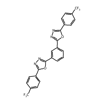 FC(F)(F)c1ccc(-c2nnc(-c3cccc(-c4nnc(-c5ccc(C(F)(F)F)cc5)o4)c3)o2)cc1